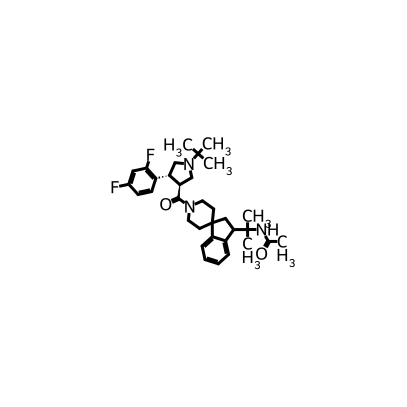 CC(=O)NC(C)(C)C1CC2(CCN(C(=O)[C@@H]3CN(C(C)(C)C)C[C@H]3c3ccc(F)cc3F)CC2)c2ccccc21